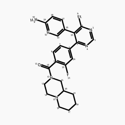 CCc1ncnc(-c2ccc(C(=O)N3CCN4CCCCC4C3)c(F)c2)c1-c1ccc(N)nc1